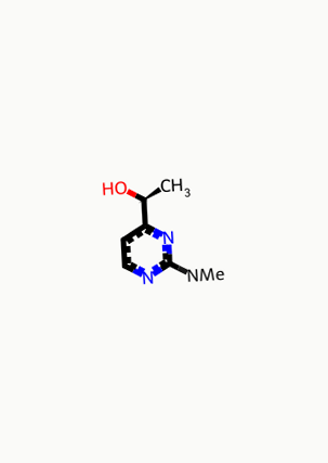 CNc1nccc([C@H](C)O)n1